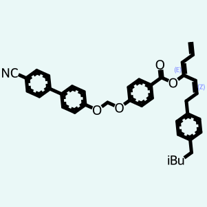 C=C/C=C(\C=C/Cc1ccc(CC(C)CC)cc1)OC(=O)c1ccc(OCOc2ccc(-c3ccc(C#N)cc3)cc2)cc1